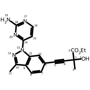 CCOC(=O)C(C)(O)C#Cc1ccc2c(C)nn(-c3ccnc(N)n3)c2c1